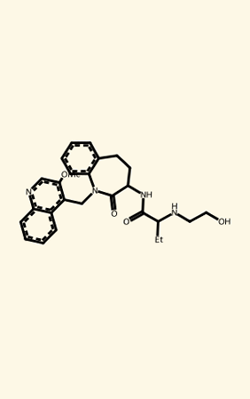 CCC(NCCO)C(=O)NC1CCc2ccccc2N(Cc2c(OC)cnc3ccccc23)C1=O